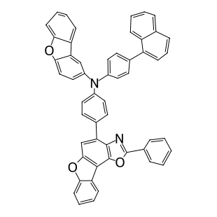 c1ccc(-c2nc3c(-c4ccc(N(c5ccc(-c6cccc7ccccc67)cc5)c5ccc6oc7ccccc7c6c5)cc4)cc4oc5ccccc5c4c3o2)cc1